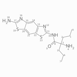 CCCC(N)(CCC)C(=O)Nc1nc2cc3nc(N)sc3cc2s1